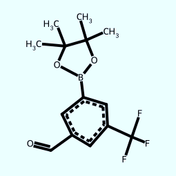 CC1(C)OB(c2cc(C=O)cc(C(F)(F)F)c2)OC1(C)C